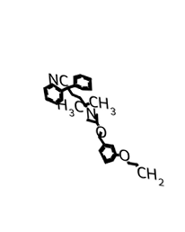 C=CCOc1cccc(COC2CN(C(C)(C)CCC(C#N)(c3ccccc3)c3ccccc3)C2)c1